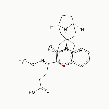 CO/N=C(\CCC(=O)O)c1nc2ccccc2n([C@H]2C[C@H]3CC[C@@H](C2)N3[C@H]2C[C@@H]3CCC[C@@H](C3)C2)c1=O